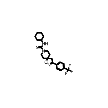 FC(F)(F)c1ccc(C2=NOC3(CCN(C(=S)NC4CCCCC4)CC3)C2)cc1